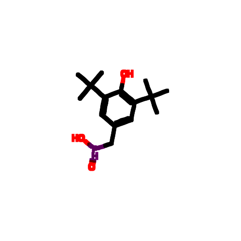 CC(C)(C)c1cc(C[PH](=O)O)cc(C(C)(C)C)c1O